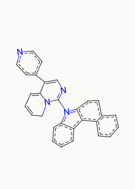 C1=CCN2C(=C1)C(c1ccncc1)=CN=C2n1c2ccccc2c2c3ccccc3ccc21